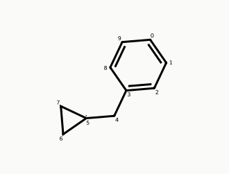 c1ccc(C[C]2CC2)cc1